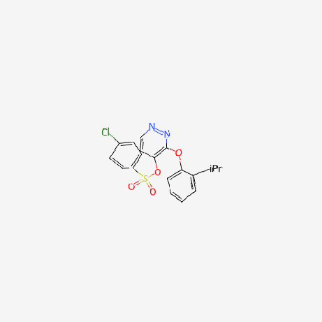 CC(C)c1ccccc1Oc1nnccc1OS(=O)(=O)c1ccc(Cl)cc1